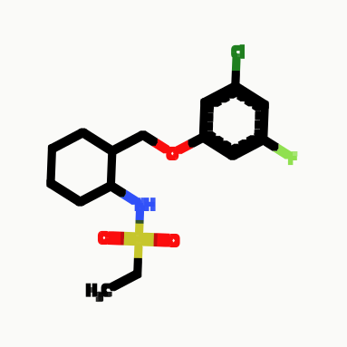 CCS(=O)(=O)NC1CCCCC1COc1cc(F)cc(Cl)c1